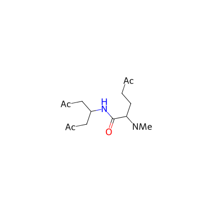 CNC(CCC(C)=O)C(=O)NC(CC(C)=O)CC(C)=O